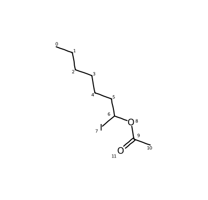 CCCCCCC(I)OC(C)=O